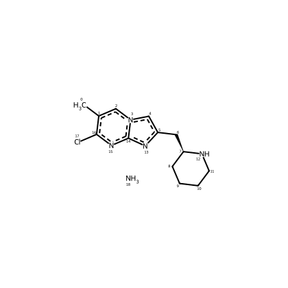 Cc1cn2cc(C[C@@H]3CCCCN3)nc2nc1Cl.N